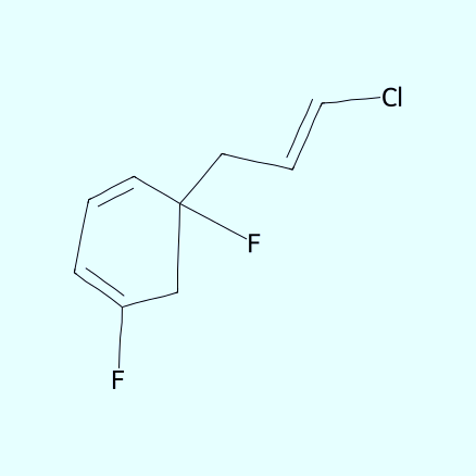 FC1=CC=CC(F)(CC=CCl)C1